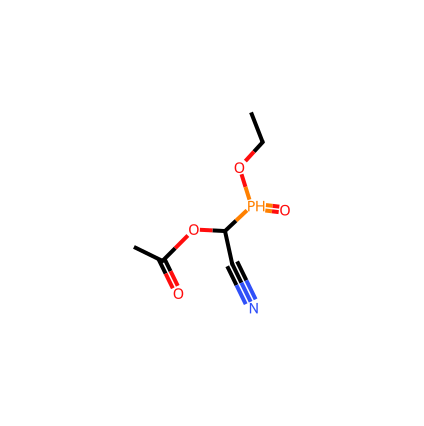 CCO[PH](=O)C(C#N)OC(C)=O